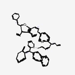 C=C/C=C(\C=C/CC[C@H]1CC=CC=C1/C(=C1/C=CCCC1=C)c1ccc2ccccc2c1)c1ccc(C/C=C\C2=C(C=C)C(C=C)C(/C=C3/C=CC=CC3)O2)cn1